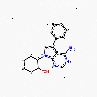 Nc1ncnc2c1c(-c1ccccc1)cn2C1CCCCC1O